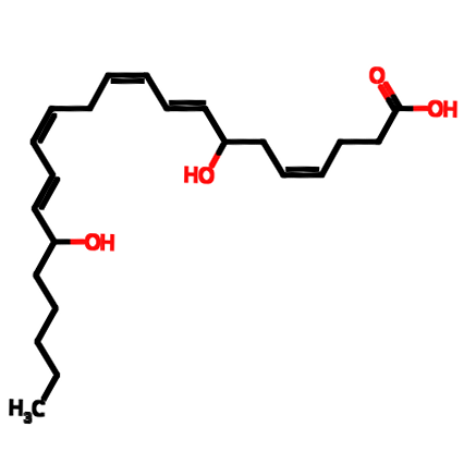 CCCCCC(O)/C=C/C=C\C/C=C\C=C\C(O)C/C=C\CCC(=O)O